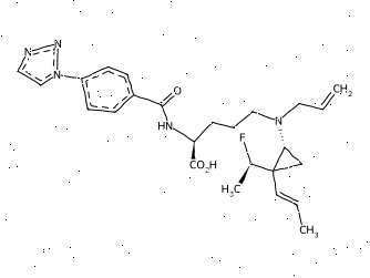 C=CCN(CCC[C@H](NC(=O)c1ccc(-n2ccnn2)cc1)C(=O)O)[C@@H]1CC1(/C=C/C)[C@@H](C)F